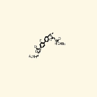 CC(=O)NC[C@H]1CN(c2ccc(-c3ccc(CN(C)C(=O)CNC(=O)OC(C)(C)C)cc3)c(F)c2)C(=O)O1